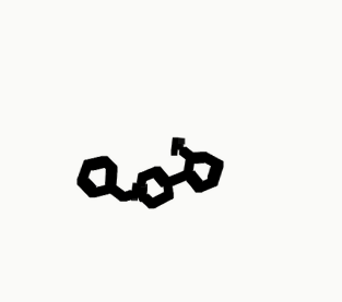 Fc1ccccc1C1=CCN(Cc2ccccc2)CC1